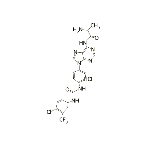 CC(N)C(=O)Nc1ncnc2c1ncn2-c1ccc(NC(=O)Nc2ccc(Cl)c(C(F)(F)F)c2)cc1.Cl